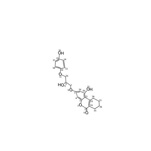 O=c1oc2cc(OCC(O)COc3ccc(O)cc3)cc(O)c2c2c1CCCC2